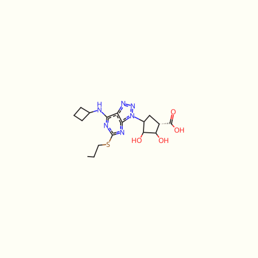 CCCSc1nc(NC2CCC2)c2nnn(C3C[C@H](C(=O)O)C(O)C3O)c2n1